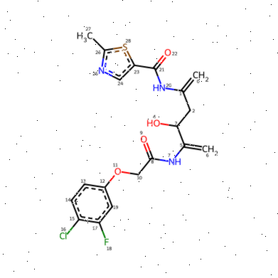 C=C(CC(O)C(=C)NC(=O)COc1ccc(Cl)c(F)c1)NC(=O)c1cnc(C)s1